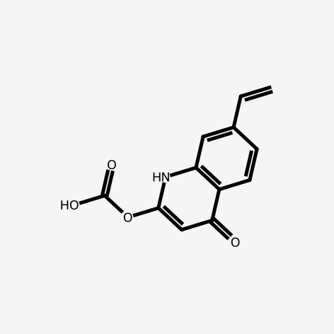 C=Cc1ccc2c(=O)cc(OC(=O)O)[nH]c2c1